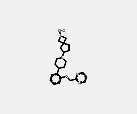 O=CN1CC2(CCC(N3CCC(c4ccccc4OCc4ncccn4)CC3)C2)C1